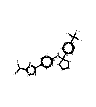 FC(F)c1nnc(-c2cnc(NC3(c4ccc(C(F)(F)F)cc4)CCCC3)nc2)o1